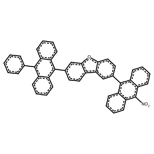 O=[N+]([O-])c1c2ccccc2c(-c2ccc3oc4cc(-c5c6ccccc6c(-c6ccccc6)c6ccccc56)ccc4c3c2)c2ccccc12